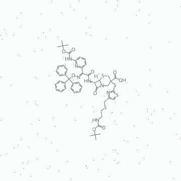 CC(C)(C)OC(=O)NCCSCc1csc(SC2(C(=O)O)CS[C@@H]3[C@H](NC(=O)C(=NOC(c4ccccc4)(c4ccccc4)c4ccccc4)c4cccc(NC(=O)OC(C)(C)C)n4)C(=O)N3C2)n1